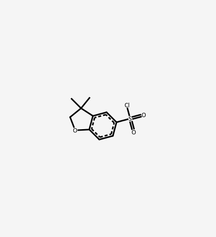 CC1(C)COc2ccc(S(=O)(=O)Cl)cc21